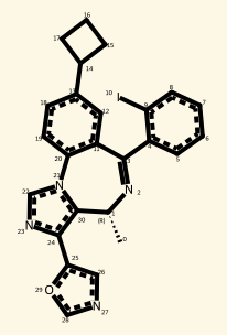 C[C@H]1N=C(c2ccccc2I)c2cc(C3CCC3)ccc2-n2cnc(-c3cnco3)c21